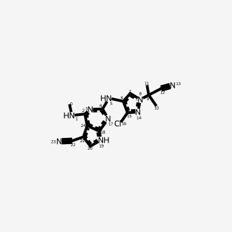 CNc1nc(Nc2cn(C(C)(C)C#N)nc2Cl)nc2[nH]cc(C#N)c12